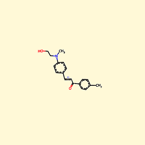 Cc1ccc(C(=O)/C=C/c2ccc(N(C)CCO)cc2)cc1